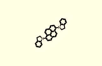 c1ccc2c(c1)CCN2c1ccc2ccc3c(N4CCc5ccccc54)ccc4ccc1c2c43